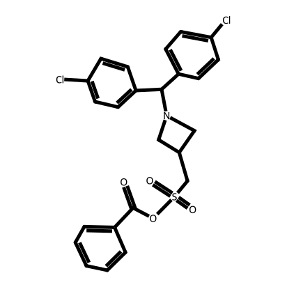 O=C(OS(=O)(=O)CC1CN(C(c2ccc(Cl)cc2)c2ccc(Cl)cc2)C1)c1ccccc1